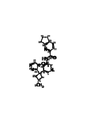 CC1CC(c2cncc(NC(=O)c3ccc4c(n3)CCC4)c2)(c2nncn2C)C1